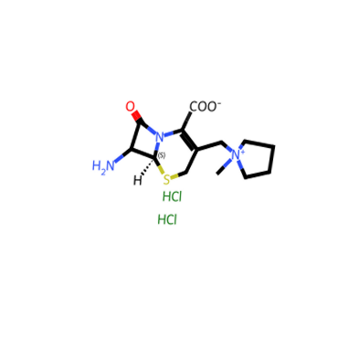 C[N+]1(CC2=C(C(=O)[O-])N3C(=O)C(N)[C@@H]3SC2)CCCC1.Cl.Cl